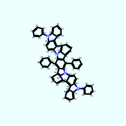 c1ccc(-c2c3c4cccc5c6c7c8ccccc8n(-c8ccccc8)c7ccc6n(c3c(-c3ccccc3)c3c6cccc7c8c9c%10ccccc%10n(-c%10ccccc%10)c9ccc8n(c23)c67)c45)cc1